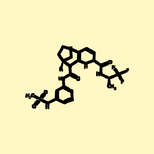 C[C@@H](NC(=O)C1C=CC2=C(N1)N(C(=O)Nc1cc(NS(C)(=O)=O)ccn1)[C@H]1CCN2C1)C(F)(F)F